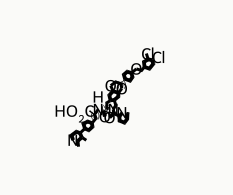 Cc1nccc(-c2ccc(C[C@H](NC(=O)[C@@H]3Cc4cc5c(cc4CN3C(=O)c3ccccn3)O[C@@H](c3ccc(OCc4ccc(Cl)c(Cl)c4)cc3)CO5)C(=O)O)cc2)c1C